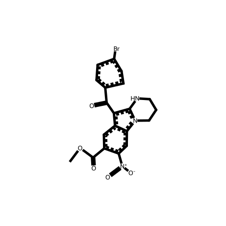 COC(=O)c1cc2c(C(=O)c3ccc(Br)cc3)c3n(c2cc1[N+](=O)[O-])CCCN3